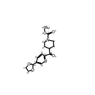 CC(C)(C)OC(=O)N1CCC(C(=O)c2ccc(C3OCCO3)cn2)CC1